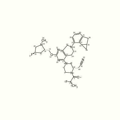 C=C(F)C(=O)N1CCN(c2nc(OC[C@@H]3C[C@@H](F)CN3C)nc3c2CCN(c2cccc4c2C2CC2C4)C3)C[C@@H]1CC#N